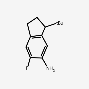 CC(C)(C)C1CCc2cc(F)c(N)cc21